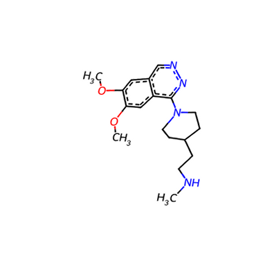 CNCCC1CCN(c2nncc3cc(OC)c(OC)cc23)CC1